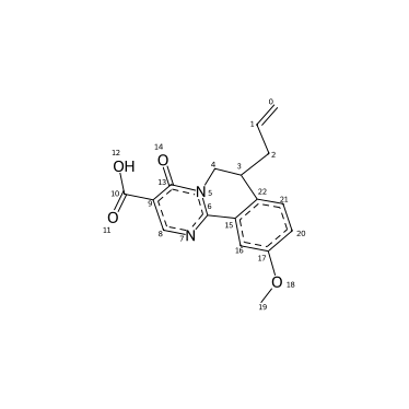 C=CCC1Cn2c(ncc(C(=O)O)c2=O)-c2cc(OC)ccc21